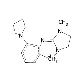 Cc1cccc(N2CCCC2)c1N=C1N(C)CCN1C